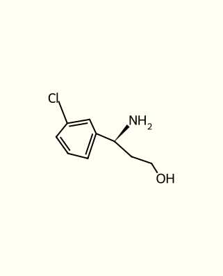 N[C@@H](CCO)c1cccc(Cl)c1